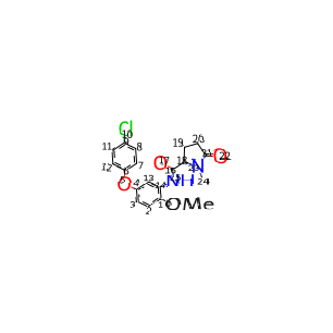 COc1ccc(Oc2ccc(Cl)cc2)cc1NC(=O)C1CCC(=O)N1C